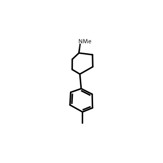 CNC1CCC(c2ccc(C)cc2)CC1